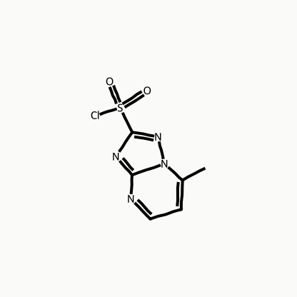 Cc1ccnc2nc(S(=O)(=O)Cl)nn12